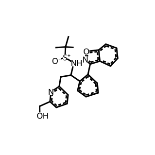 CC(C)(C)[S+]([O-])NC(Cc1cccc(CO)n1)c1ccccc1-c1noc2ccccc12